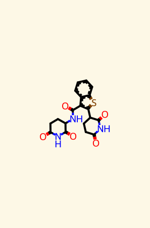 O=C1CCC(NC(=O)c2c(C3CCC(=O)NC3=O)sc3ccccc23)C(=O)N1